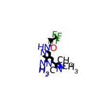 Cc1nn(C)c(C)c1-c1cc2cc(NC(=O)[C@H]3CC3C(F)(F)F)ncc2c(N)n1